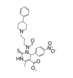 COC(=O)C1=C(C)NC(=S)N(N(C=O)CCCN2CCC(c3ccccc3)CC2)C1c1ccc([N+](=O)[O-])cc1